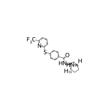 O=C(N[C@@H]1C[C@H]2CC[C@@H]1N2)c1ccc(Sc2cccc(C(F)(F)F)n2)cc1